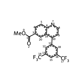 COC(=O)c1ccc2nccc(-c3cc(C(F)(F)F)cc(C(F)(F)F)c3)c2c1